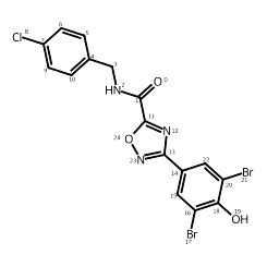 O=C(NCc1ccc(Cl)cc1)c1nc(-c2cc(Br)c(O)c(Br)c2)no1